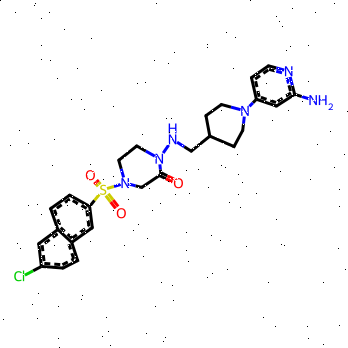 Nc1cc(N2CCC(CNN3CCN(S(=O)(=O)c4ccc5cc(Cl)ccc5c4)CC3=O)CC2)ccn1